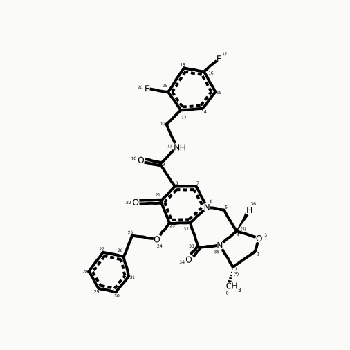 C[C@H]1CO[C@H]2Cn3cc(C(=O)NCc4ccc(F)cc4F)c(=O)c(OCc4ccccc4)c3C(=O)N21